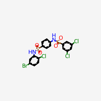 O=S(=O)(Nc1ccc(S(=O)(=O)Nc2cc(Br)ccc2Cl)cc1)c1cc(Cl)cc(Cl)c1